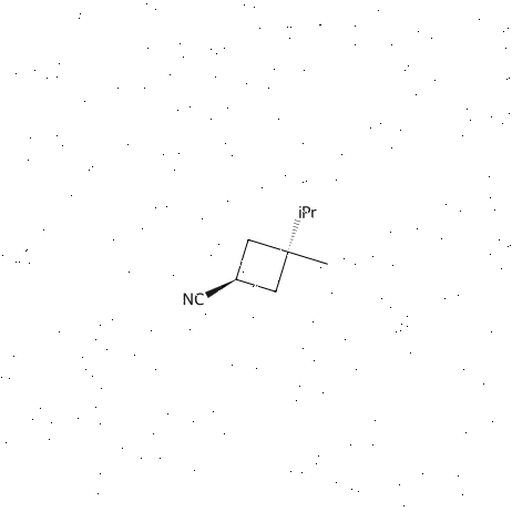 CC(C)[C@]1(C)C[C@@H](C#N)C1